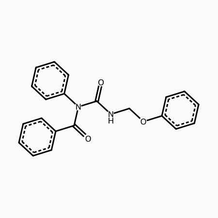 O=C(NCOc1ccccc1)N(C(=O)c1ccccc1)c1ccccc1